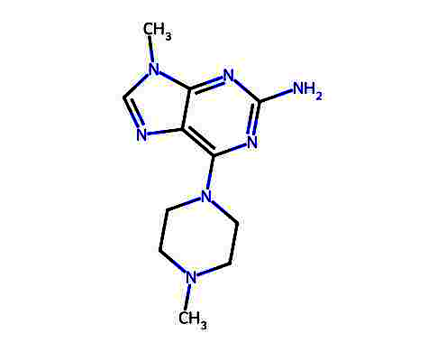 CN1CCN(c2nc(N)nc3c2ncn3C)CC1